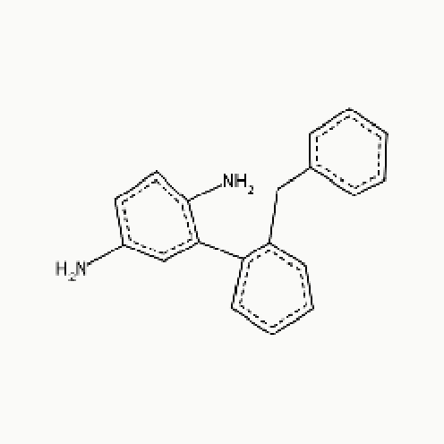 Nc1ccc(N)c(-c2ccccc2Cc2ccccc2)c1